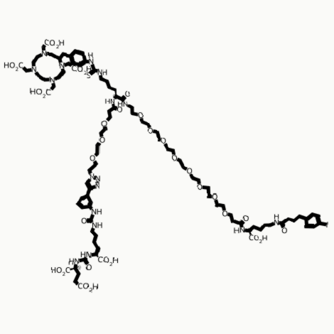 O=C(O)CC[C@H](NC(=O)N[C@@H](CCCCNC(=O)Nc1cccc(-c2cn(CCOCCOCCOCCC(=O)N[C@@H](CCCCNC(=S)Nc3ccc(CC4CN(CC(=O)O)CCN(CC(=O)O)CCN(CC(=O)O)CCN4CC(=O)O)cc3)C(=O)NCCOCCOCCOCCOCCOCCOCCOCCOCCC(=O)N[C@@H](CCCCNC(=O)CCCc3ccc(I)cc3)C(=O)O)nn2)c1)C(=O)O)C(=O)O